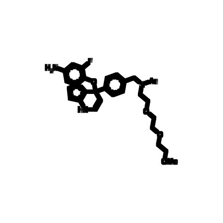 COCCOCCOCCN(Cc1ccc(C2(Oc3ccc(N)cc3F)C=CNc3ccsc32)cc1)C(C)=O